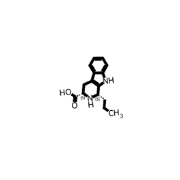 CCC[C@@H]1N[C@H](C(=O)O)Cc2c1[nH]c1ccccc21